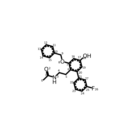 CC(=O)NCCc1c(OCc2ccccc2)cc(O)cc1-c1cccc(F)c1